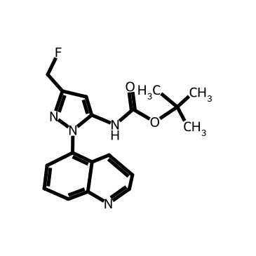 CC(C)(C)OC(=O)Nc1cc(CF)nn1-c1cccc2ncccc12